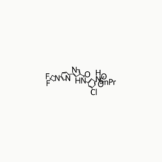 CCCS(=O)(=O)Nc1cc(Cl)cc(NC(=O)c2cc(-c3ccc(N4CC(F)(F)C4)cn3)n(C)c2)c1